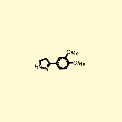 COc1ccc(C2=NNCC2)cc1OC